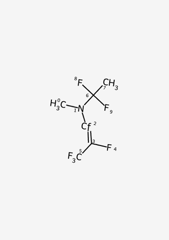 C[N]([Cf]=[C](F)C(F)(F)F)C(C)(F)F